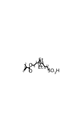 C=C(C)C(=O)OCC[N+](CC)(CC)CCCS(=O)(=O)O